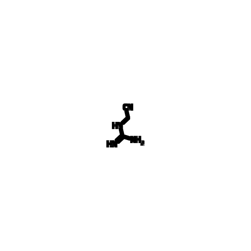 N#CCNC(=N)N